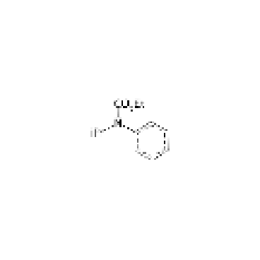 CCOC(=O)N(c1ccccc1)C(C)C